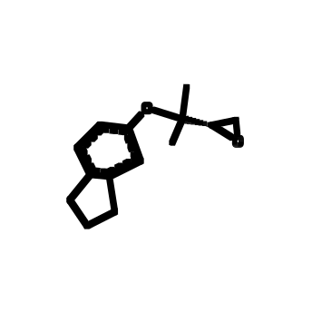 CC(C)(Oc1ccc2c(c1)CCC2)[C@@H]1CO1